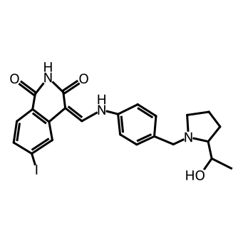 CC(O)C1CCCN1Cc1ccc(N/C=C2\C(=O)NC(=O)c3ccc(I)cc32)cc1